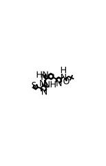 CC(C)(C)CC(=O)Nc1cncc(-c2ccc3[nH]nc(C4=NC5C(c6ccsc6)=CN=CC5(C)N4)c3c2)c1